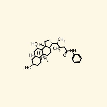 C[C@H](CCC(=O)Nc1ccccc1)[C@H]1CC[C@H]2[C@@H]3[C@H](O)C[C@@H]4C[C@H](O)CC[C@]4(C)[C@H]3CC[C@]12C